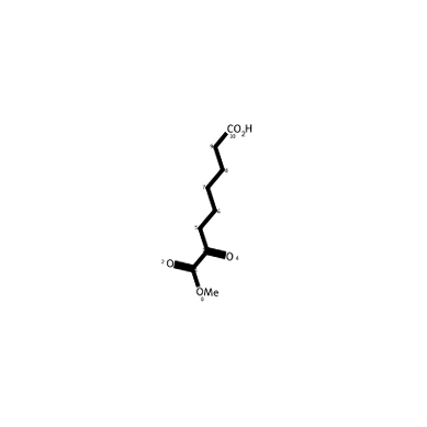 COC(=O)C(=O)CCCCCC(=O)O